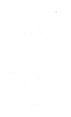 CC(C)(c1cc(Cl)c(OCCCO)c(Cl)c1)c1cc(Cl)c(OCCCO)c(Cl)c1